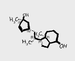 C[C@H](C[C@@H]1C=C[C@@](C)(O)C1)[C@H]1CCC2C(O)CCC[C@@]21C